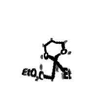 CCOC(=O)CC1(CC)OCCCO1